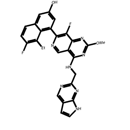 CCc1c(F)ccc2cc(O)cc(-c3ncc4c(NCc5ncc6cc[nH]c6n5)nc(OC)nc4c3F)c12